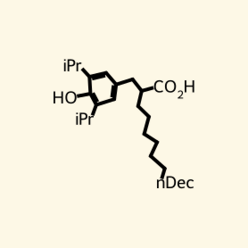 CCCCCCCCCCCCCCCCC(Cc1cc(C(C)C)c(O)c(C(C)C)c1)C(=O)O